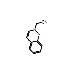 N#CCN1C=Cc2ccccc2S1